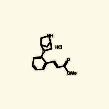 COC(=O)C=Cc1ccccc1N1CC2CC1CN2.Cl